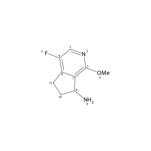 COc1ncc(F)c2c1C(N)CC2